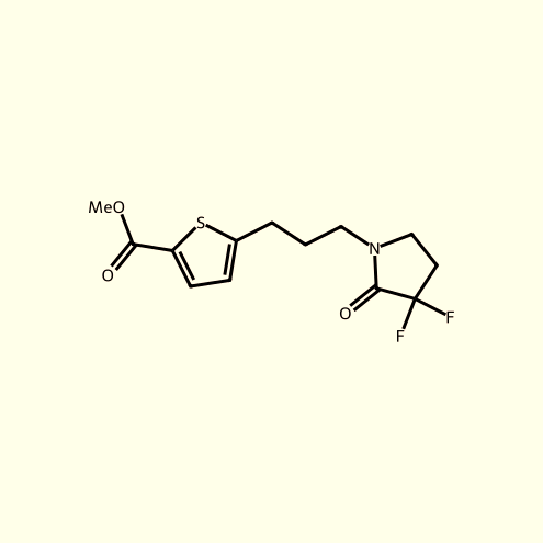 COC(=O)c1ccc(CCCN2CCC(F)(F)C2=O)s1